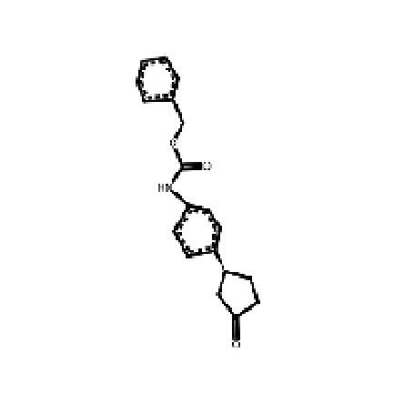 O=C1CC[C@H](c2ccc(NC(=O)OCc3ccccc3)cc2)C1